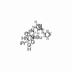 CCCCN1C(=O)[C@@H]([C@H](O)C(C)C)NC(=O)C12CCN(Cc1c(C)nn(CCc3ccccc3)c1C)CC2